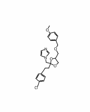 COc1ccc(COCC2COC(CCc3ccc(Cl)cc3)(Cn3ccnc3)O2)cc1